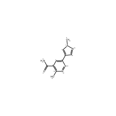 Cn1cc(-c2cc(C(N)=O)c(O)nn2)cn1